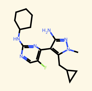 Cn1nc(N)c(-c2nc(NC3CCCCC3)ncc2F)c1CC1CC1